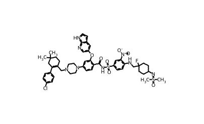 CC1(C)CCC(CN2CCN(c3ccc(C(=O)NS(=O)(=O)c4ccc(NCC5(F)CCC(N=S(C)(C)=O)CC5)c([N+](=O)[O-])c4)c(Oc4cnc5[nH]ccc5c4)c3)CC2)=C(c2ccc(Cl)cc2)C1